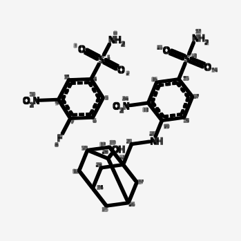 NS(=O)(=O)c1ccc(F)c([N+](=O)[O-])c1.NS(=O)(=O)c1ccc(NCC23CC4CC(C2)C(O)C(C4)C3)c([N+](=O)[O-])c1